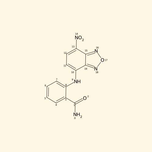 NC(=O)c1ccccc1Nc1ccc([N+](=O)[O-])c2nonc12